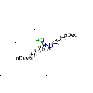 CCCCCCCCCCCCCCCCCC(C)NC(C)CCCCCCCCCCCCCCCCC.Cl